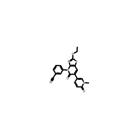 CCOc1nc2c(cc(-c3ccc(=O)n(C)c3)c(=O)n2-c2cccc(C#N)c2)s1